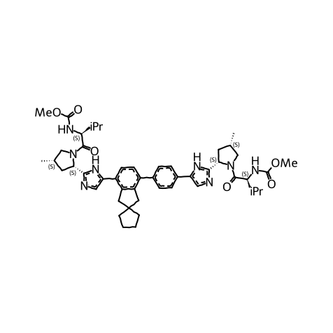 COC(=O)N[C@H](C(=O)N1C[C@@H](C)C[C@H]1c1ncc(-c2ccc(-c3ccc(-c4cnc([C@@H]5C[C@H](C)CN5C(=O)[C@@H](NC(=O)OC)C(C)C)[nH]4)c4c3CC3(CCCC3)C4)cc2)[nH]1)C(C)C